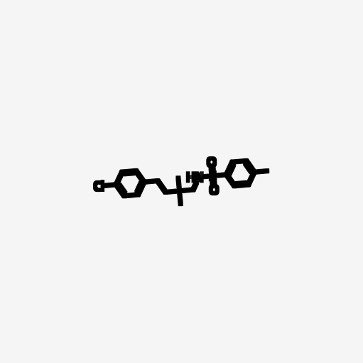 Cc1ccc(S(=O)(=O)NCC(C)(C)CCc2ccc(Cl)cc2)cc1